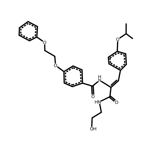 CC(C)Oc1ccc(/C=C(\NC(=O)c2ccc(OCCOc3ccccc3)cc2)C(=O)NCCO)cc1